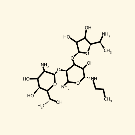 CCCN[C@@H]1OC(N)[C@@H](O[C@H]2OC([C@@H](C)O)[C@@H](O)C(O)C2N)C(O[C@@H]2O[C@H]([C@H](C)N)C(O)C2O)C1O